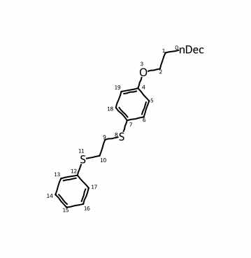 CCCCCCCCCCCCOc1ccc(SCCSc2ccccc2)cc1